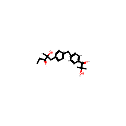 CCC(=O)C(C)(O)Cc1ccc(Cc2ccc(C(=O)C(C)(C)O)cc2)cc1